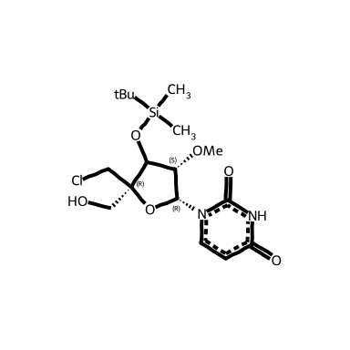 CO[C@H]1C(O[Si](C)(C)C(C)(C)C)[C@](CO)(CCl)O[C@H]1n1ccc(=O)[nH]c1=O